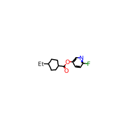 CCC1CCC(C(=O)Oc2ccc(F)nc2)CC1